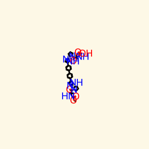 COC(=O)NC(C)(C)C(=O)N1CCC[C@H]1c1ncc(-c2ccc(-c3ccc(-c4cnc([C@@H]5CCCN5C(=O)C(C)(C)NC(=O)O)[nH]4)cc3)cc2)[nH]1